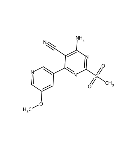 COc1cncc(-c2nc(S(C)(=O)=O)nc(N)c2C#N)c1